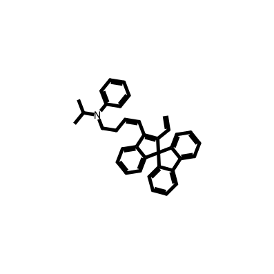 C=CC1=C(/C=C\CCN(c2ccccc2)C(C)C)c2ccccc2C12c1ccccc1-c1ccccc12